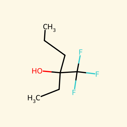 CCCC(O)(CC)C(F)(F)F